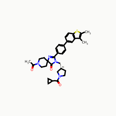 CC(=O)N1CCC2(CC1)N=C(c1ccc(-c3ccc4sc(C)c(C)c4c3)cc1)N(C[C@@H]1CCN(C(=O)C3CC3)C1)C2=O